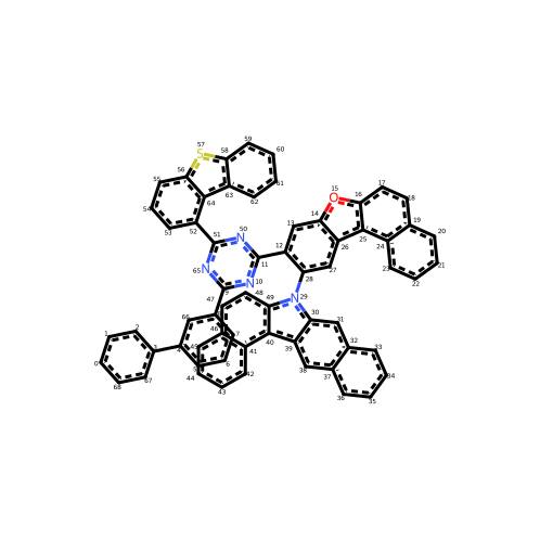 c1ccc(-c2cccc(-c3nc(-c4cc5oc6ccc7ccccc7c6c5cc4-n4c5cc6ccccc6cc5c5c6ccccc6ccc54)nc(-c4cccc5sc6ccccc6c45)n3)c2)cc1